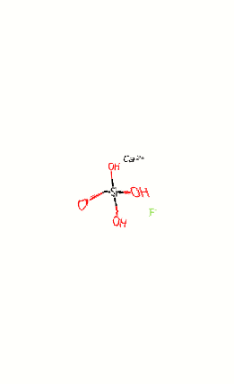 [Ca+2].[F-].[O-][Si](O)(O)O